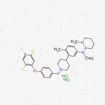 Cc1ccc(N(C=O)C2CCCCN2C)cc1C1CCN(Cc2ccc(Oc3cc(F)c(F)cc3F)cc2)CC1.Cl.Cl